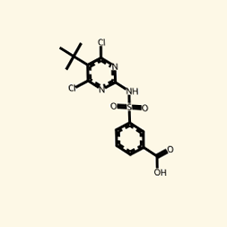 CC(C)(C)c1c(Cl)nc(NS(=O)(=O)c2cccc(C(=O)O)c2)nc1Cl